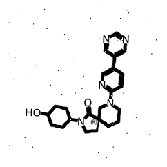 O=C1N(C2CCC(O)CC2)CC[C@@]12CCCN(c1ccc(-c3cncnc3)cn1)C2